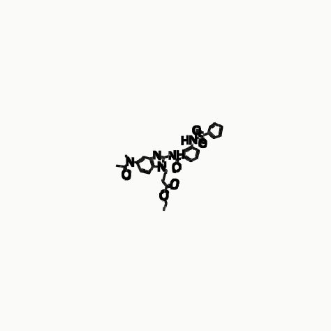 CCOC(=O)CCn1c(NC(=O)c2cccc(NS(=O)(=O)c3ccccc3)c2)nc2cc(N(C)C(C)=O)ccc21